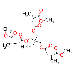 C=C(CC(=O)OCC(CC)(COC(=O)CC(=C)C(=O)OC)COC(=O)CC(=C)C(=O)OC)C(=O)OC